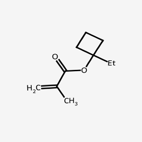 C=C(C)C(=O)OC1(CC)CCC1